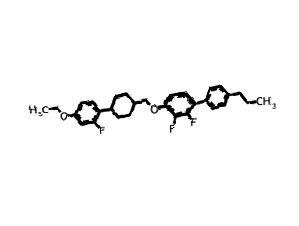 CCCc1ccc(-c2ccc(OCC3CCC(c4ccc(OCC)cc4F)CC3)c(F)c2F)cc1